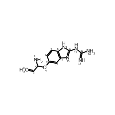 C=CC(N)Oc1ccc2[nH]c(NC(=N)N)nc2c1